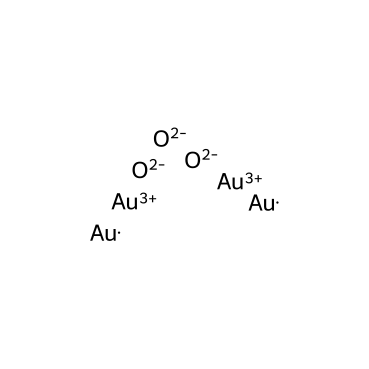 [Au+3].[Au+3].[Au].[Au].[O-2].[O-2].[O-2]